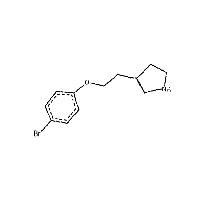 Brc1ccc(OCCC2CCNC2)cc1